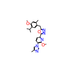 COc1cc(C)c(Cc2nnc(-c3ccc(-n4cnc(C)c4)c(OC)n3)o2)cc1C(C)C